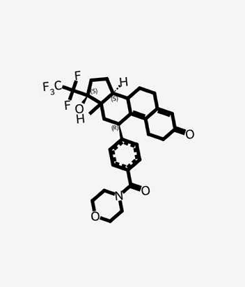 CC12C[C@H](c3ccc(C(=O)N4CCOCC4)cc3)C3=C4CCC(=O)C=C4CCC3[C@@H]1CC[C@@]2(O)C(F)(F)C(F)(F)F